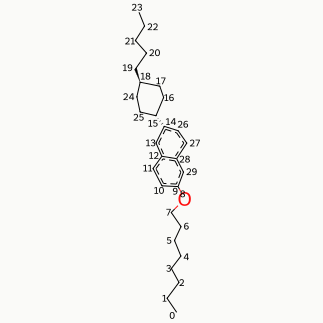 CCCCCCCCOc1ccc2cc([C@H]3CC[C@H](CCCCC)CC3)ccc2c1